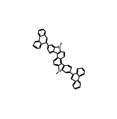 Cn1c2cc(-c3cc4ccccc4c4ccccc34)ccc2c2c3ccc4c(c3ccc21)c1ccc(-c2cc3ccccc3c3ccccc23)cc1n4C